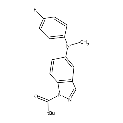 CN(c1ccc(F)cc1)c1ccc2c(cnn2C(=O)C(C)(C)C)c1